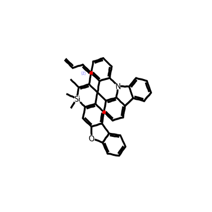 C=C/C=C\C1=C(C)[Si](C)(C)c2cc3oc4ccccc4c3cc2C12c1ccccc1-n1c3ccccc3c3cccc2c31